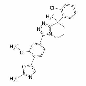 COc1cc(-c2nnc3n2CCCC3(C)c2ccccc2Cl)ccc1-c1cnc(C)o1